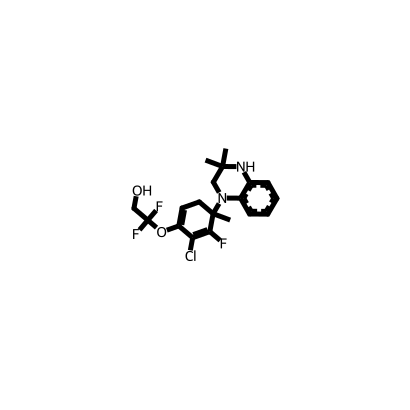 CC1(C)CN(C2(C)CC=C(OC(F)(F)CO)C(Cl)=C2F)c2ccccc2N1